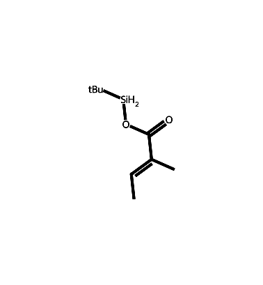 CC=C(C)C(=O)O[SiH2]C(C)(C)C